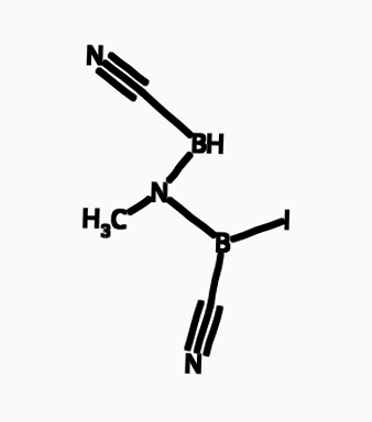 CN(BC#N)B(I)C#N